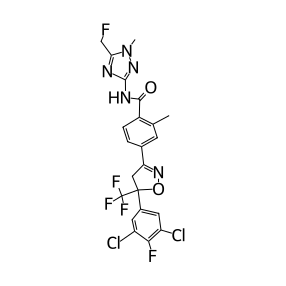 Cc1cc(C2=NOC(c3cc(Cl)c(F)c(Cl)c3)(C(F)(F)F)C2)ccc1C(=O)Nc1nc(CF)n(C)n1